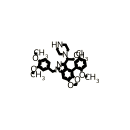 CCC(c1nn(Cc2ccc(OC)c(OC)c2)c2cc3c(c(-c4cc(Cl)ccc4OC)c12)OCO3)N1CCNCC1